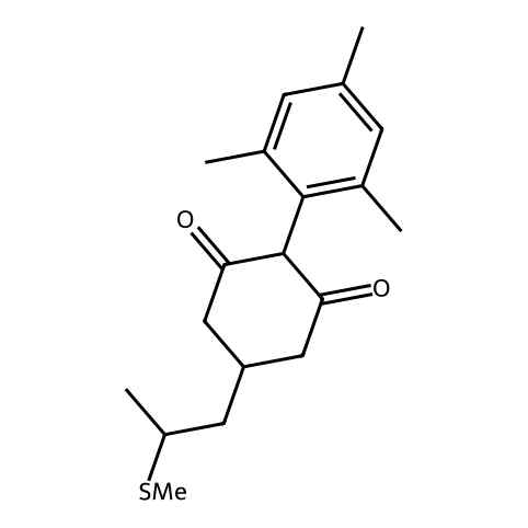 CSC(C)CC1CC(=O)C(c2c(C)cc(C)cc2C)C(=O)C1